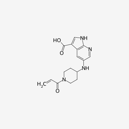 C=CC(=O)N1CCC(Nc2cnc3[nH]cc(C(=O)O)c3c2)CC1